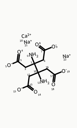 NC(CC(=O)[O-])(CC(=O)[O-])C(N)(CC(=O)[O-])CC(=O)[O-].[Ca+2].[Na+].[Na+]